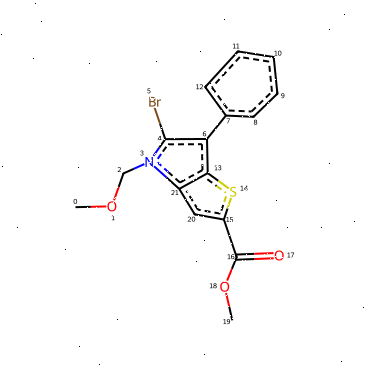 COCn1c(Br)c(-c2ccccc2)c2sc(C(=O)OC)cc21